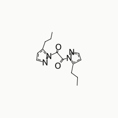 CCCc1ccnn1C(=O)C(=O)n1nccc1CCC